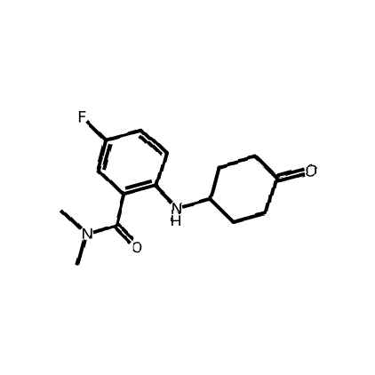 CN(C)C(=O)c1cc(F)ccc1NC1CCC(=O)CC1